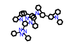 c1ccc(-c2nc(-c3ccccc3)nc(-c3cc(-n4c5ccccc5c5ccccc54)c(-n4c5ccccc5c5cc(-n6c7ccccc7c7cc(-c8ccc9c(c8)c8ccccc8n9-c8ccccc8)ccc76)ccc54)c(-n4c5ccccc5c5ccccc54)c3)n2)cc1